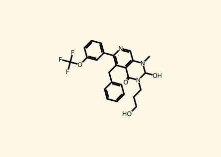 CN1c2cnc(-c3cccc(OC(F)(F)F)c3)c(Cc3ccccc3)c2C(=O)N(CCCO)C1O